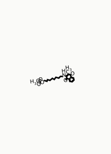 CC1=C(NCCCCCCCCCCOS(C)(=O)=O)C(=O)c2ccccc2C1=O